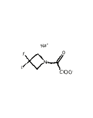 O=C([O-])C(=O)N1CC(F)(F)C1.[Na+]